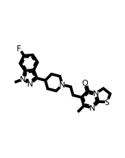 Cc1nc2n(c(=O)c1CCN1CCC(c3nn(C)c4cc(F)ccc34)CC1)CCS2